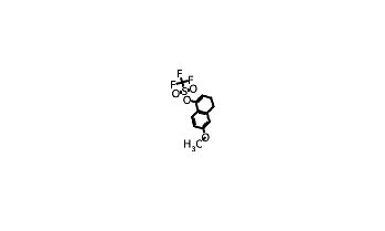 COc1ccc2c(c1)CCC=C2OS(=O)(=O)C(F)(F)F